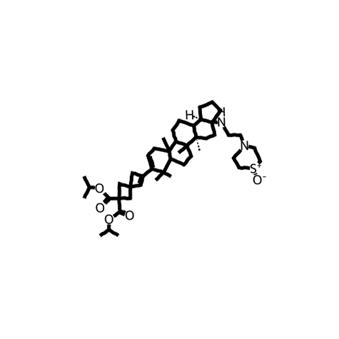 CC(C)OC(=O)C1(C(=O)OC(C)C)CC2(C=C(C3=CCC4(C)C(CCC5(C)C4CCC4[C@H]6CCCC6(NCCN6CC[S+]([O-])CC6)CC[C@]45C)C3(C)C)C2)C1